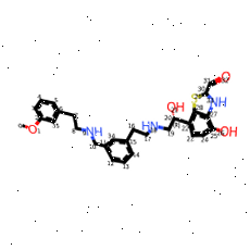 COc1cccc(CCNCc2cccc(CCNC[C@H](O)c3ccc(O)c4c3SC(C=O)N4)c2)c1